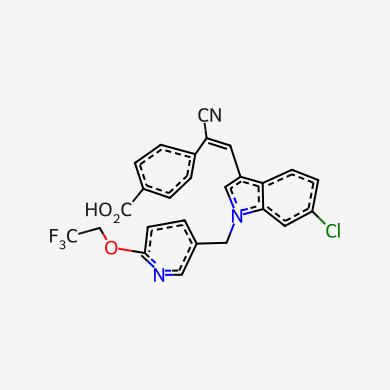 N#CC(=Cc1cn(Cc2ccc(OCC(F)(F)F)nc2)c2cc(Cl)ccc12)c1ccc(C(=O)O)cc1